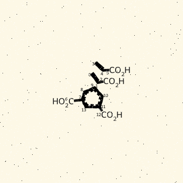 C=CC(=O)O.C=CC(=O)O.O=C(O)c1cccc(C(=O)O)c1